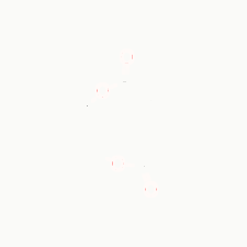 CC1(C)CCOC(=O)c2ccc(cc2)C(=O)O1